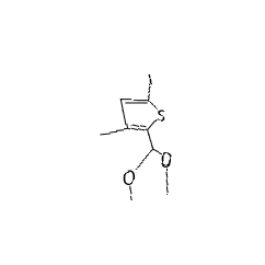 COC(OC)c1sc(I)cc1C